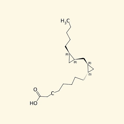 CCCCC[C@@H]1C[C@@H]1C[C@H]1C[C@@H]1CCCCCCCC(=O)O